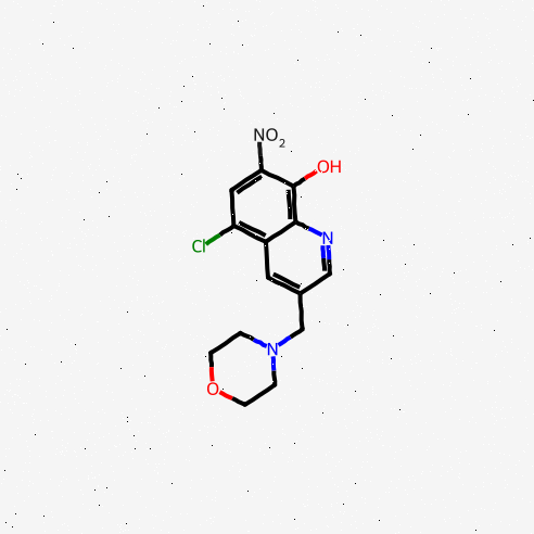 O=[N+]([O-])c1cc(Cl)c2cc(CN3CCOCC3)cnc2c1O